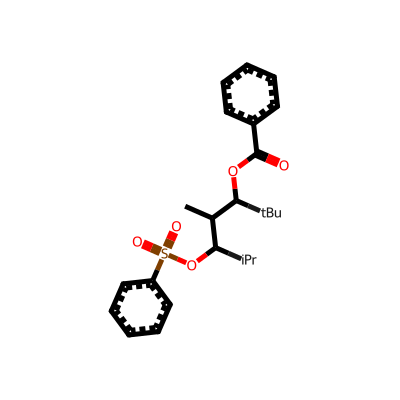 CC(C)C(OS(=O)(=O)c1ccccc1)C(C)C(OC(=O)c1ccccc1)C(C)(C)C